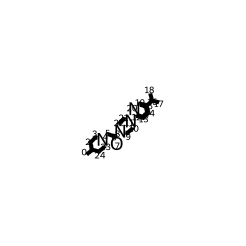 CC1CCN(CC(=O)N2CCN(c3ccc(C(C)C)cn3)CC2)CC1